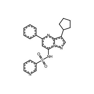 O=S(=O)(Nc1cc(-c2ccccc2)nc2c(C3CCCC3)cnn12)c1cccnc1